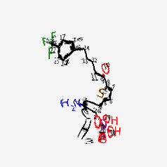 CC(N)(CCc1ccc(C(=O)CCCCc2ccc(C(F)(F)F)cc2)s1)COP(=O)(O)O